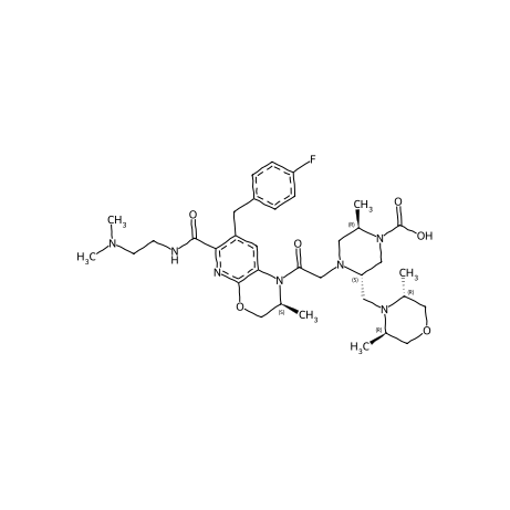 C[C@@H]1CN(CC(=O)N2c3cc(Cc4ccc(F)cc4)c(C(=O)NCCN(C)C)nc3OC[C@@H]2C)[C@@H](CN2[C@H](C)COC[C@H]2C)CN1C(=O)O